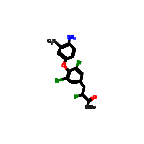 COC(=O)C(F)Cc1cc(Br)c(Oc2ccc(N)c([N+](=O)[O-])c2)c(Br)c1